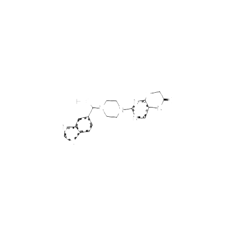 CC(c1ccc2scnc2c1)N1CCN(c2ncc3c(n2)OCC(=O)N3)CC1